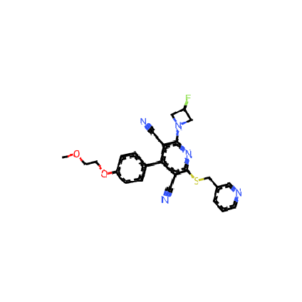 COCCOc1ccc(-c2c(C#N)c(SCc3cccnc3)nc(N3CC(F)C3)c2C#N)cc1